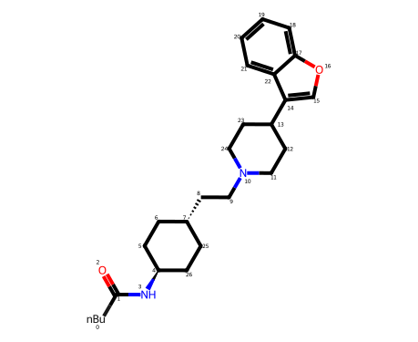 CCCCC(=O)N[C@H]1CC[C@H](CCN2CCC(c3coc4ccccc34)CC2)CC1